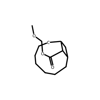 COCOC(=O)C1C2CCCCCCCC1C2